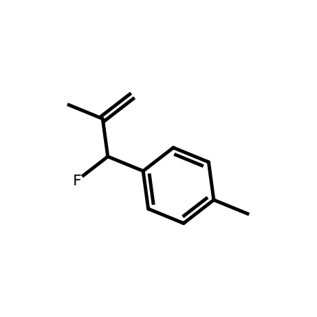 C=C(C)C(F)c1ccc(C)cc1